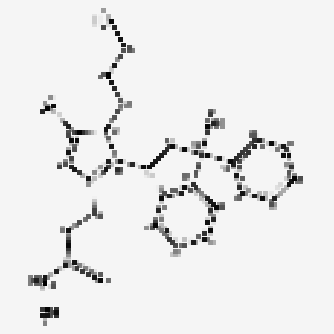 CC(=O)C1=CC(CCC(=O)NO)=C(CCC(O)(c2ccccc2)c2ccccc2)C1CCCN